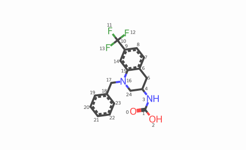 O=C(O)NC1Cc2ccc(C(F)(F)F)cc2N(Cc2ccccc2)C1